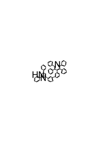 C1=C(c2cccc(-c3cccc(-c4c(-c5ccccc5)c(-c5ccccc5)nc(-c5ccccc5)c4-c4ccccc4)c3)c2)N=C(c2ccccc2)NC1c1ccccc1